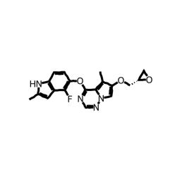 Cc1cc2c(F)c(Oc3ncnn4cc(OC[C@@H]5CO5)c(C)c34)ccc2[nH]1